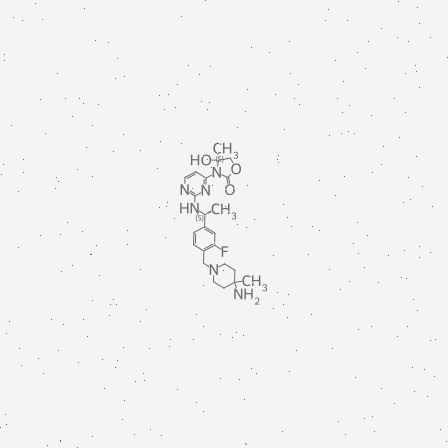 C[C@H](Nc1nccc(N2C(=O)OC[C@]2(C)O)n1)c1ccc(CN2CCC(C)(N)CC2)c(F)c1